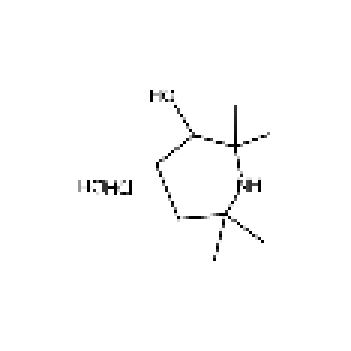 CC1(C)CCC(O)C(C)(C)N1.Cl.Cl